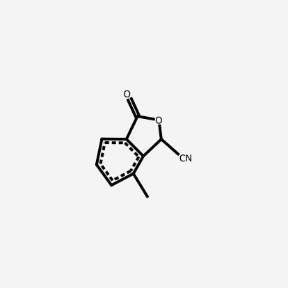 Cc1cccc2c1C(C#N)OC2=O